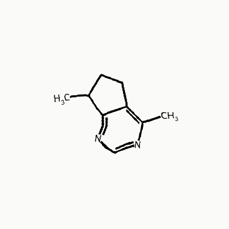 Cc1ncnc2c1CCC2C